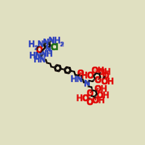 N=C(NCCCCc1ccc(-c2ccc(CCC(=O)NCCN(CC[C@@H]3O[C@@H](C(=O)O)[C@H](O)[C@@H](O)[C@@H]3O)CC[C@@H]3O[C@@H](C(=O)O)[C@H](O)[C@@H](O)[C@@H]3O)cc2)cc1)NC(=O)c1nc(Cl)c(N)nc1N